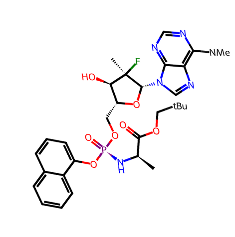 CNc1ncnc2c1ncn2[C@@H]1O[C@H](CO[P@](=O)(N[C@H](C)C(=O)OCC(C)(C)C)Oc2cccc3ccccc23)[C@@H](O)[C@@]1(C)F